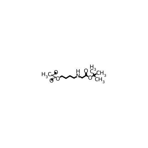 CC(C)(C)OC(=O)CNCCCCOS(C)(=O)=O